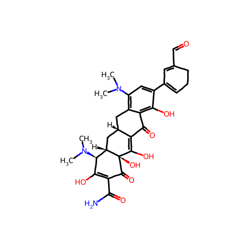 CN(C)c1cc(C2=CCCC(C=O)=C2)c(O)c2c1C[C@H]1C[C@H]3[C@H](N(C)C)C(O)=C(C(N)=O)C(=O)[C@@]3(O)C(O)=C1C2=O